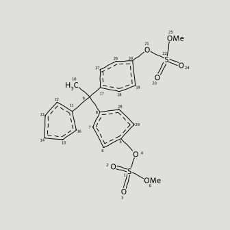 COS(=O)(=O)Oc1ccc(C(C)(c2ccccc2)c2ccc(OS(=O)(=O)OC)cc2)cc1